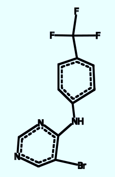 FC(F)(F)c1ccc(Nc2ncncc2Br)cc1